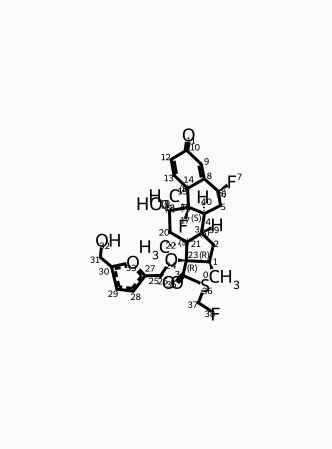 C[C@@H]1C[C@H]2[C@@H]3C[C@H](F)C4=CC(=O)C=C[C@]4(C)[C@@]3(F)[C@@H](O)C[C@]2(C)[C@@]1(OC(=O)c1ccc(CO)o1)C(=O)SCF